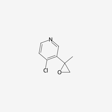 CC1(c2cnccc2Cl)CO1